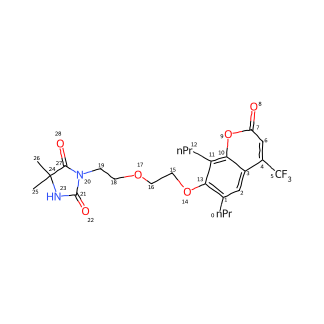 CCCc1cc2c(C(F)(F)F)cc(=O)oc2c(CCC)c1OCCOCCN1C(=O)NC(C)(C)C1=O